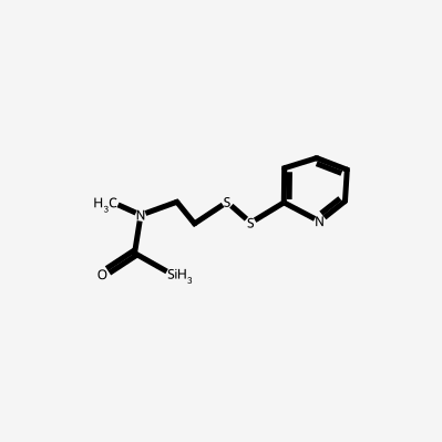 CN(CCSSc1ccccn1)C(=O)[SiH3]